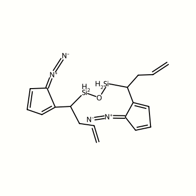 C=CCC([SiH2]O[SiH2]C(CC=C)C1=CC=CC1=[N+]=[N-])C1=CC=CC1=[N+]=[N-]